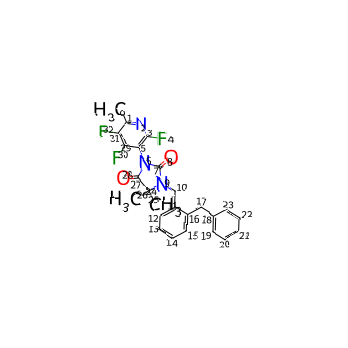 Cc1nc(F)c(N2C(=O)N(Cc3ccccc3Cc3ccccc3)C(C)(C)C2=O)c(F)c1F